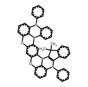 CC1(C)C2=C(c3ccccc31)N(c1ccccc1)c1cccc3c1B2c1cc2c(cc1O3)Oc1cccc3c1B2c1ccccc1N3c1ccccc1